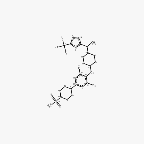 CC(c1nc(C(F)(F)F)no1)N1CCC(Oc2c(F)cc(C3CCN(S(C)(=O)=O)CC3)cc2F)CC1